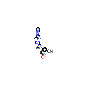 Cc1cc(N2CC3CC(C2)N3)cnc1N1CCN2C(C1)CN(c1ccc(C#N)c3nc(O)ccc13)C[C@@H]2C